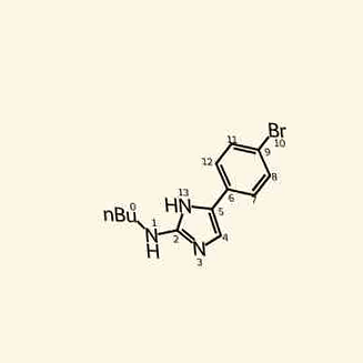 CCCCNc1ncc(-c2ccc(Br)cc2)[nH]1